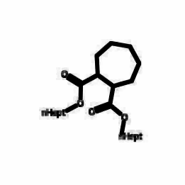 CCCCCCCOC(=O)C1CCCCCC1C(=O)OCCCCCCC